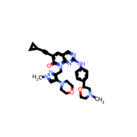 CN1CCOC(c2ccc(Nc3ncc4cc(C#CC5CC5)c(=O)n(Cc5nn(C)cc5N5CCOCC5)c4n3)cc2)C1